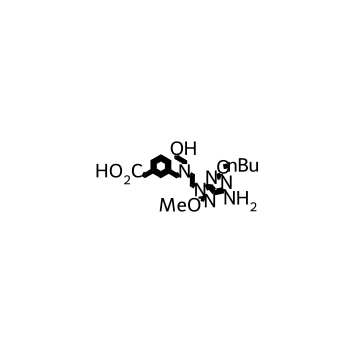 CCCCOc1nc(N)c2nc(OC)n(CCN(CCO)Cc3cccc(CC(=O)O)c3)c2n1